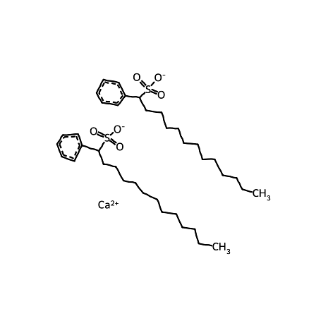 CCCCCCCCCCCCC(c1ccccc1)S(=O)(=O)[O-].CCCCCCCCCCCCC(c1ccccc1)S(=O)(=O)[O-].[Ca+2]